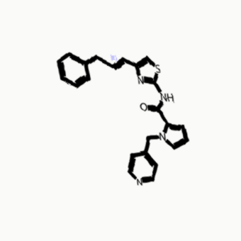 O=C(Nc1nc(/C=C/Cc2ccccc2)cs1)c1cccn1Cc1ccncc1